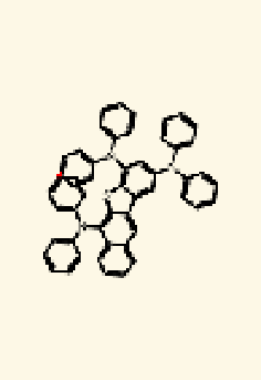 c1ccc(N(c2ccccc2)c2cc(N(c3ccccc3)c3ccccc3)c3sc4c(N(c5ccccc5)c5ccccc5)c5ccccc5cc4c3c2)cc1